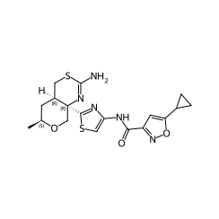 C[C@H]1C[C@H]2CSC(N)=N[C@@]2(c2nc(NC(=O)c3cc(C4CC4)on3)cs2)CO1